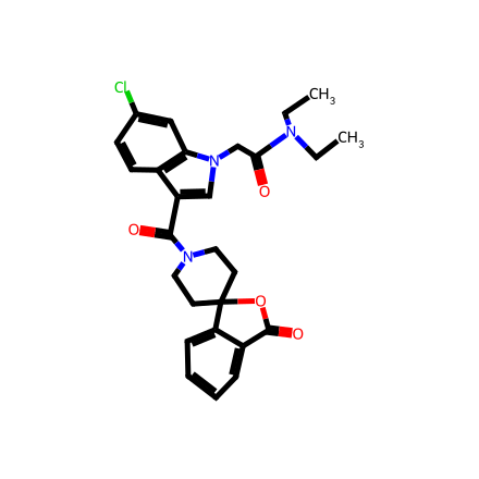 CCN(CC)C(=O)Cn1cc(C(=O)N2CCC3(CC2)OC(=O)c2ccccc23)c2ccc(Cl)cc21